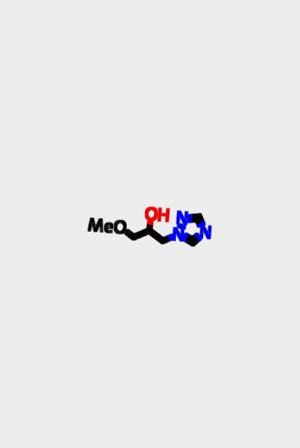 COCC(O)Cn1cncn1